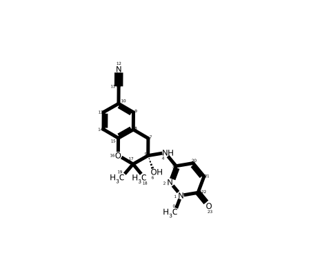 Cn1nc(N[C@]2(O)Cc3cc(C#N)ccc3OC2(C)C)ccc1=O